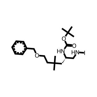 CC(C)(CCOCc1ccccc1)C[C@@H](CNI)NC(=O)OC(C)(C)C